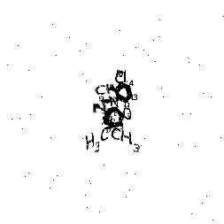 CC1(C)CC(=O)c2c(ncn2-c2cccc(Cl)c2Cl)C1